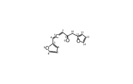 O=C(C=C=Cc1ccco1)Cc1ccco1